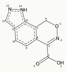 O=C(O)C1=NOCc2c1ccc1cn[nH]c21